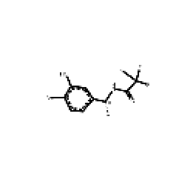 C[C@@H](NC(=O)C(F)(F)F)c1ccc(Br)c(O)c1